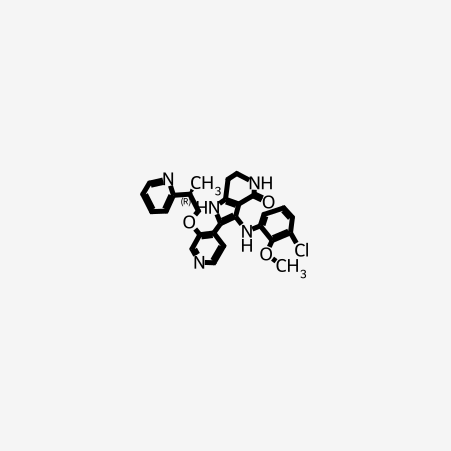 COc1c(Cl)cccc1Nc1c(-c2ccncc2OC[C@H](C)c2ccccn2)[nH]c2c1C(=O)NCC2